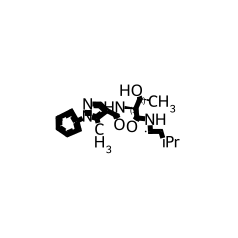 Cc1c(C(=O)N[C@H](C(=O)N[CH]CC(C)C)[C@@H](C)O)cnn1-c1ccccc1